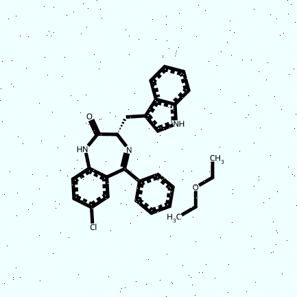 CCOCC.O=C1Nc2ccc(Cl)cc2C(c2ccccc2)=N[C@H]1Cc1c[nH]c2ccccc12